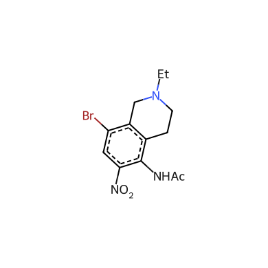 CCN1CCc2c(c(Br)cc([N+](=O)[O-])c2NC(C)=O)C1